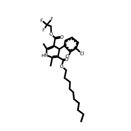 CCCCCCCCCCOC(=O)C1=C(C)NC(C)=C(C(=O)OCC(F)(F)F)C1c1cccc(Cl)c1Cl